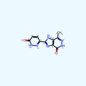 Cc1n[nH]c(=O)c2nc(-c3ccc(=O)[nH]n3)[nH]c12